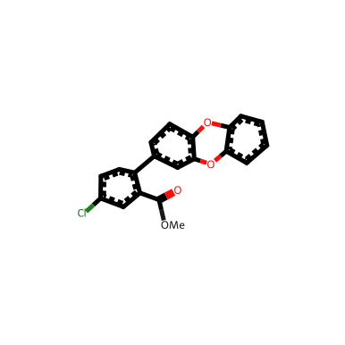 COC(=O)c1cc(Cl)ccc1-c1ccc2c(c1)Oc1ccccc1O2